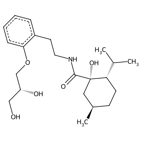 CC(C)[C@@H]1CC[C@@H](C)C[C@@]1(O)C(=O)NCCc1ccccc1OC[C@H](O)CO